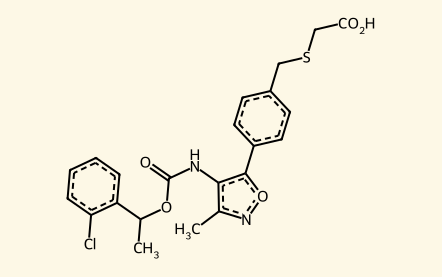 Cc1noc(-c2ccc(CSCC(=O)O)cc2)c1NC(=O)OC(C)c1ccccc1Cl